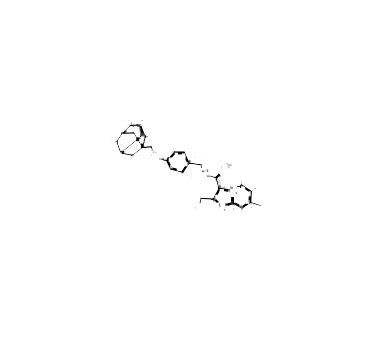 CCc1nc2cc(Cl)ccn2c1C(=O)NCc1ccc(OCC23CC4CC(CC(C4)C2)C3)cc1